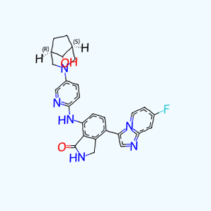 O=C1NCc2c(-c3cnc4cc(F)ccn34)ccc(Nc3ccc(N4C[C@H]5CC[C@@H](C4)C5O)cn3)c21